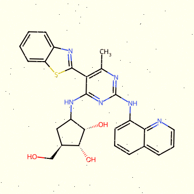 Cc1nc(Nc2cccc3cccnc23)nc(NC2C[C@H](CO)[C@@H](O)[C@H]2O)c1-c1nc2ccccc2s1